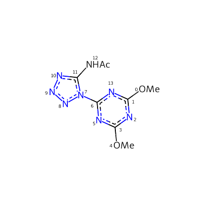 COc1nc(OC)nc(-n2nnnc2NC(C)=O)n1